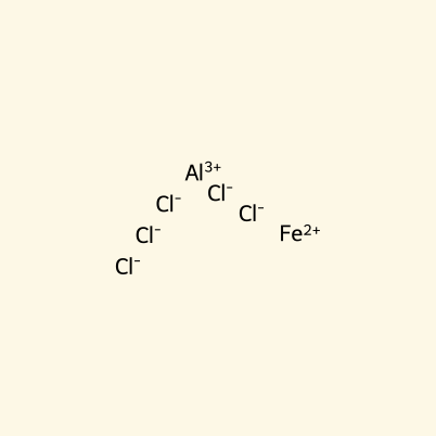 [Al+3].[Cl-].[Cl-].[Cl-].[Cl-].[Cl-].[Fe+2]